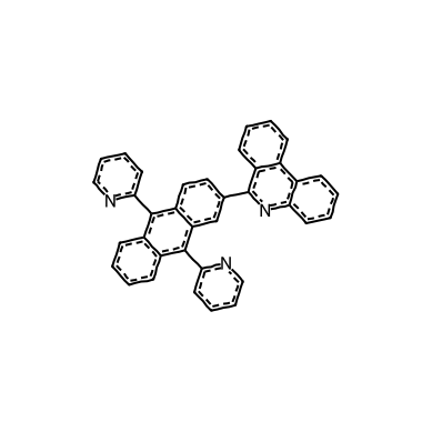 c1ccc(-c2c3ccccc3c(-c3ccccn3)c3cc(-c4nc5ccccc5c5ccccc45)ccc23)nc1